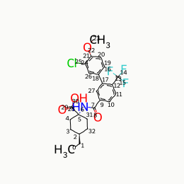 CC[C@H]1CC[C@@](NC(=O)c2ccc(C(F)(F)F)c(-c3ccc(OC)c(Cl)c3)c2)(C(=O)O)CC1